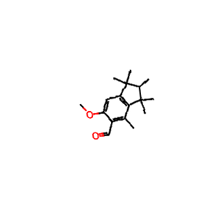 COc1cc2c(c(C)c1C=O)C(C)(C)C(C)C2(C)C